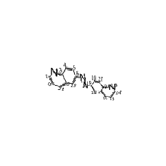 c1cnc2ccc(N=Nc3ccc4ncccc4c3)cc2c1